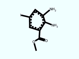 COC(=O)c1cc(I)cc(N)c1N